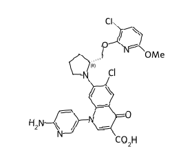 COc1ccc(Cl)c(OC[C@H]2CCCN2c2cc3c(cc2Cl)c(=O)c(C(=O)O)cn3-c2ccc(N)nc2)n1